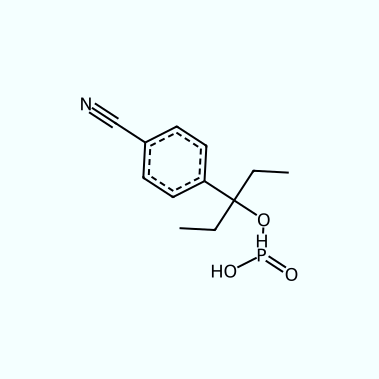 CCC(CC)(O[PH](=O)O)c1ccc(C#N)cc1